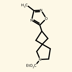 CCOC(=O)N1CCC2(CC(c3nc(C)no3)C2)C1